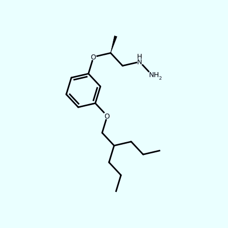 CCCC(CCC)COc1cccc(O[C@@H](C)CNN)c1